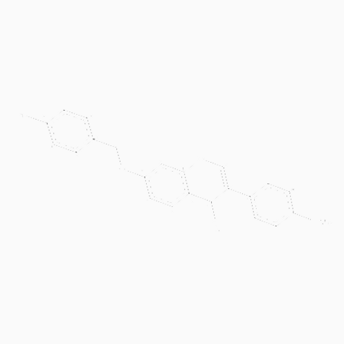 COc1ccc(C2=COc3cc(OCc4ccc(C(C)C)cc4)ccc3C2C=O)cc1